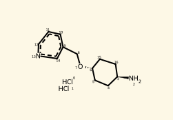 Cl.Cl.N[C@H]1CC[C@H](OCc2cccnc2)CC1